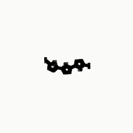 Ic1ccc(-c2ccc(-c3ccc(I)s3)s2)s1